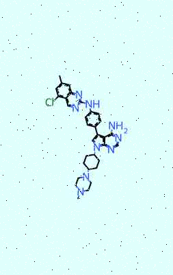 Cc1cc(Cl)c2cnc(Nc3ccc(-c4cn([C@H]5CC[C@@H](N6CCN(C)CC6)CC5)c5ncnc(N)c45)cc3)nc2c1